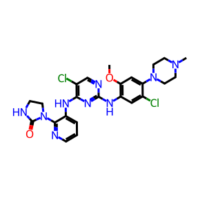 COc1cc(N2CCN(C)CC2)c(Cl)cc1Nc1ncc(Cl)c(Nc2cccnc2N2CCNC2=O)n1